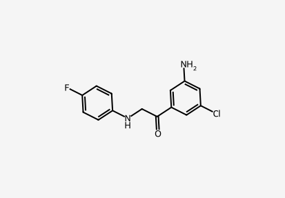 Nc1cc(Cl)cc(C(=O)CNc2ccc(F)cc2)c1